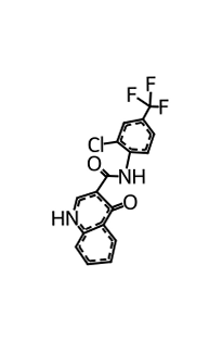 O=C(Nc1ccc(C(F)(F)F)cc1Cl)c1c[nH]c2ccccc2c1=O